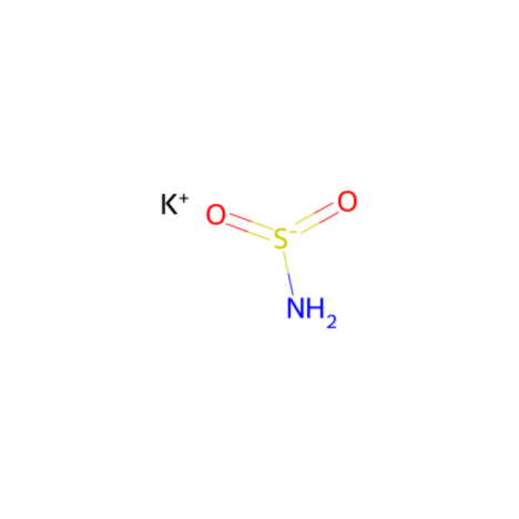 N[S-](=O)=O.[K+]